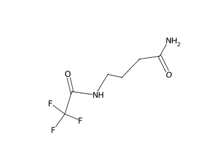 NC(=O)CCCNC(=O)C(F)(F)F